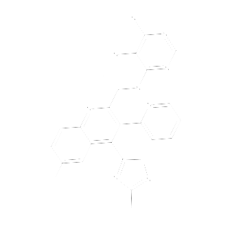 Cc1noc(-c2c(-c3ccccn3)c([C@H](C)Nc3ncnc(N)c3N)nc3ccc(F)cc23)n1